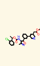 CCOC(=O)Cc1cncc(-c2cccc(-c3onc(C)c3NC(=O)OC(C)c3ccccc3Cl)c2)c1